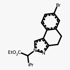 CCOC(=O)C(C(C)C)n1cc2c(n1)CCc1cc(Br)ccc1-2